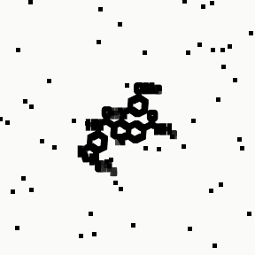 COc1cccc(Nc2c(C(=O)Nc3ccc4c(c3)ncn4C)cnc3ccc(C(N)=O)cc23)c1